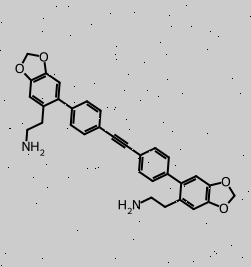 NCCc1cc2c(cc1-c1ccc(C#Cc3ccc(-c4cc5c(cc4CCN)OCO5)cc3)cc1)OCO2